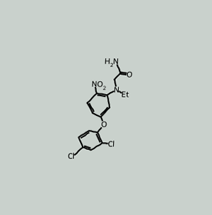 CCN(CC(N)=O)c1cc(Oc2ccc(Cl)cc2Cl)ccc1[N+](=O)[O-]